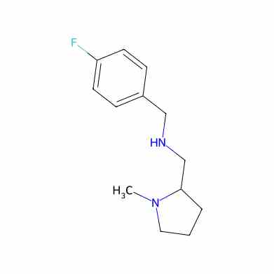 CN1CCCC1CNCc1ccc(F)cc1